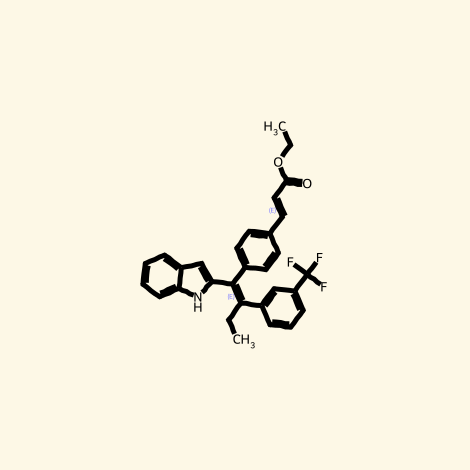 CCOC(=O)/C=C/c1ccc(/C(=C(/CC)c2cccc(C(F)(F)F)c2)c2cc3ccccc3[nH]2)cc1